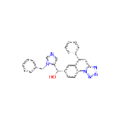 OC(c1ccc2c(c1)c(-c1ccccc1)cc1nnnn12)c1cncn1Cc1ccccc1